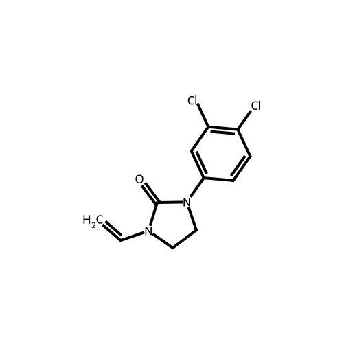 C=CN1CCN(c2ccc(Cl)c(Cl)c2)C1=O